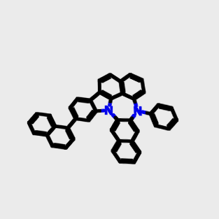 c1ccc(-n2c3cccc4ccc5c6ccc(-c7cccc8ccccc78)cc6n(c6cc7ccccc7cc62)c5c43)cc1